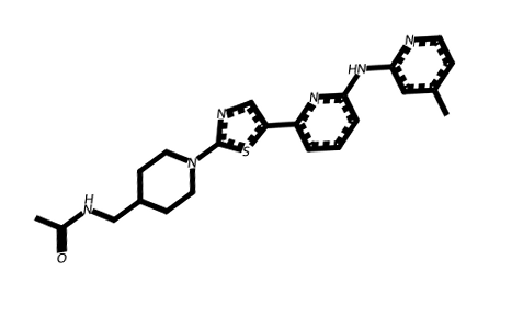 CC(=O)NCC1CCN(c2ncc(-c3cccc(Nc4cc(C)ccn4)n3)s2)CC1